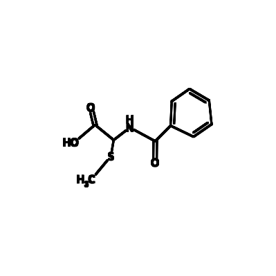 CSC(NC(=O)c1ccccc1)C(=O)O